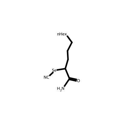 CCCCCCCCCC([Se]C#N)C(N)=O